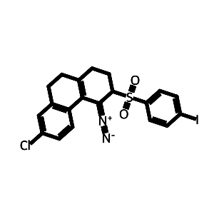 [N-]=[N+]=C1C2=C(CCc3cc(Cl)ccc32)CCC1S(=O)(=O)c1ccc(I)cc1